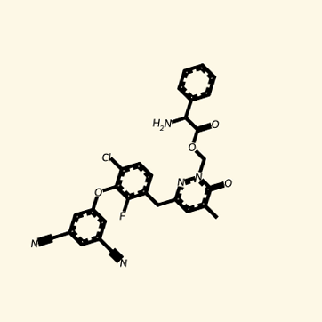 Cc1cc(Cc2ccc(Cl)c(Oc3cc(C#N)cc(C#N)c3)c2F)nn(COC(=O)C(N)c2ccccc2)c1=O